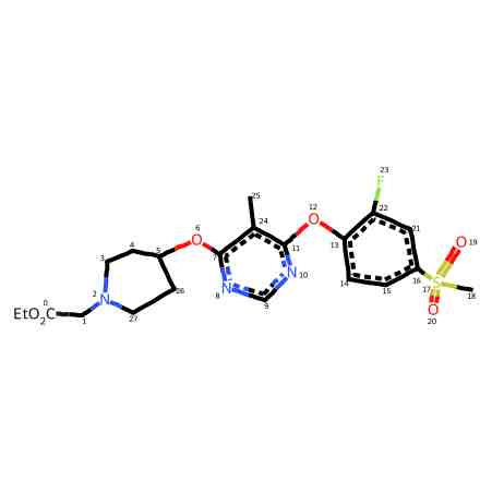 CCOC(=O)CN1CCC(Oc2ncnc(Oc3ccc(S(C)(=O)=O)cc3F)c2C)CC1